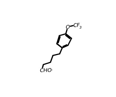 O=[C]CCCCc1ccc(OC(F)(F)F)cc1